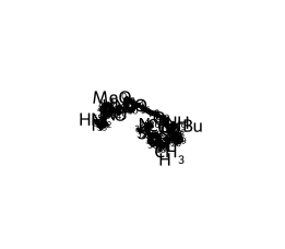 COc1cc(OCCCCOCC(=O)N[C@H](C(=O)N2CCC[C@H]2C(=O)N[C@@H](C)c2ccc(-c3scnc3C)cc2)C(C)(C)C)ccc1NC(=O)c1cccc(-c2ccn[nH]2)n1